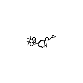 CC1(C)OB(c2ccnc(OCC3CC3)c2)OC1(C)C